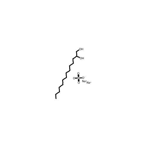 CCCCCCCCCCCCC(O)CO.O=S(=O)([O-])[O-].[Na+].[Na+]